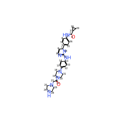 O=C(Nc1ccc(-c2ccnc(Nc3ccc(N4CCN(C(=O)CN5CCNCC5)CC4)cc3)n2)cc1)C1CC1